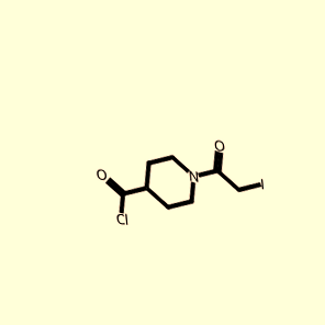 O=C(Cl)C1CCN(C(=O)CI)CC1